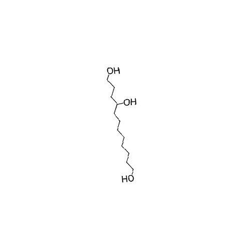 OCCCCCCCCC(O)CCCO